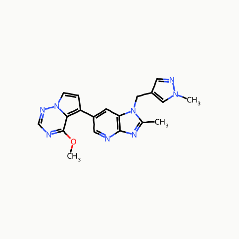 COc1ncnn2ccc(-c3cnc4nc(C)n(Cc5cnn(C)c5)c4c3)c12